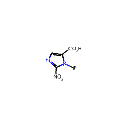 CC(C)n1c(C(=O)O)cnc1[N+](=O)[O-]